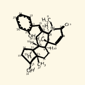 CN1C(=O)C=C[C@]2(C)[C@H]3CC[C@]4(C)[C@@H](O)CC[C@H]4[C@@H]3CC(=Cc3ccccc3O)[C@@H]12